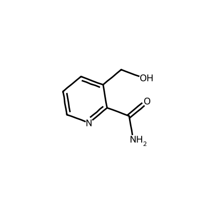 NC(=O)c1ncccc1CO